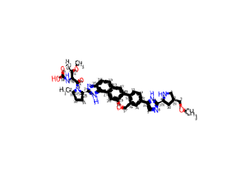 COC[C@@H]1CN[C@H](c2ncc(-c3ccc4c(c3)COc3cc5c(ccc6nc([C@@H]7CC[C@H](C)N7C(=O)[C@@H](NC(=O)O)[C@@H](C)OC)[nH]c65)cc3-4)[nH]2)C1